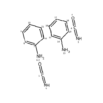 N=C=O.N=C=O.Nc1ccccc1.Nc1ccccc1